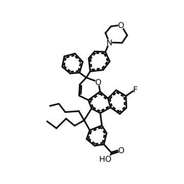 CCCCC1(CCCC)c2ccc(C(=O)O)cc2-c2c1c1c(c3cc(F)ccc23)OC(c2ccccc2)(c2ccc(N3CCOCC3)cc2)C=C1